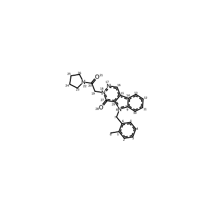 Cc1ccccc1Cn1c2ccccc2c2cnn(CC(=O)N3CCCC3)c(=O)c21